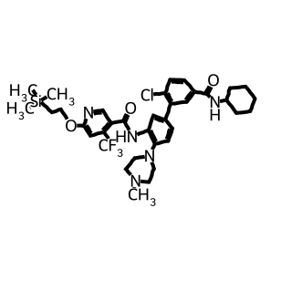 CN1CCN(c2ccc(-c3cc(C(=O)NC4CCCCC4)ccc3Cl)cc2NC(=O)c2cnc(OCC[Si](C)(C)C)cc2C(F)(F)F)CC1